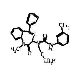 Cc1cccc(NC(=O)N(CCC(=O)O)C2N=C(c3ccccc3)c3ccccc3N(C)C2=O)c1